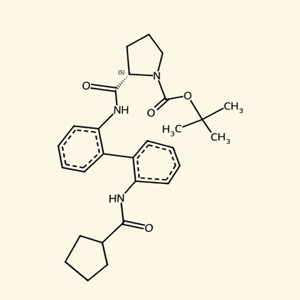 CC(C)(C)OC(=O)N1CCC[C@H]1C(=O)Nc1ccccc1-c1ccccc1NC(=O)C1CCCC1